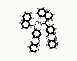 CN(c1ccc2c(c1)Oc1cccnc1S2)c1cccc2ccccc12.NC(c1ccc2c(c1)Oc1cccnc1S2)c1ccnc2ccccc12